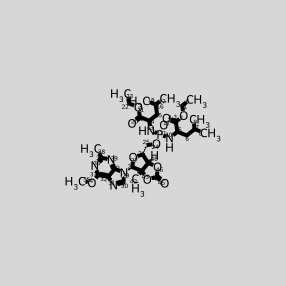 CCOC(=O)C(CC(C)C)NP(=O)(NC(CC(C)C)C(=O)OCC)OC[C@H]1O[C@@H](n2cnc3c(OC)nc(C)nc32)C2(C)OC(=O)O[C@@H]12